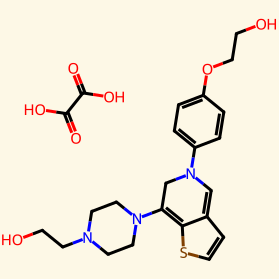 O=C(O)C(=O)O.OCCOc1ccc(N2C=c3ccsc3=C(N3CCN(CCO)CC3)C2)cc1